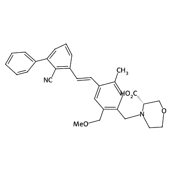 COCc1cc(/C=C/c2cccc(-c3ccccc3)c2C#N)c(C)cc1CN1CCOC[C@H]1C(=O)O